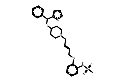 CS(=O)(=O)Nc1ccccc1OCC=CCN1CCC(OC(c2ccccc2)c2cccs2)CC1